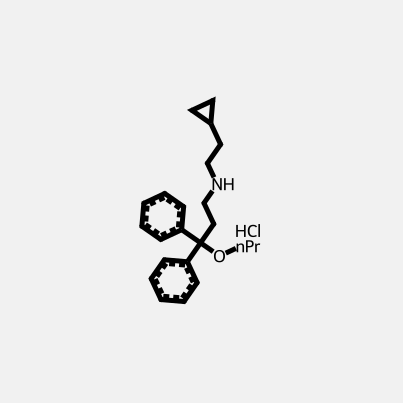 CCCOC(CCNCCC1CC1)(c1ccccc1)c1ccccc1.Cl